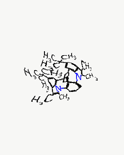 Cc1c(C)n2c3c(cc(C(C)(C)C)cc13)B1c3c-2cccc3-n2c(C)c(C)c3cc(C(C)(C)C)cc1c32